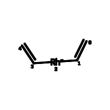 C=[CH][Rh-][CH]=C